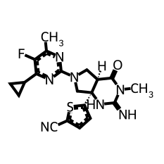 Cc1nc(N2C[C@H]3C(=O)N(C)C(=N)N[C@@]3(c3ccc(C#N)s3)C2)nc(C2CC2)c1F